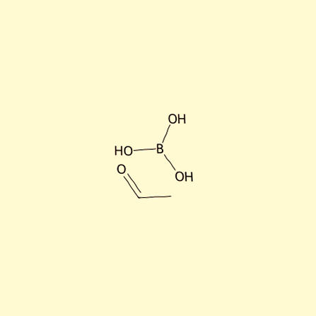 CC=O.OB(O)O